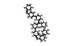 c1ccc(-c2cccc(N(c3cccc(-c4ccc5sc6ccccc6c5c4)c3)c3cccc(-c4ccc5sc6ccccc6c5c4)c3)c2)cc1